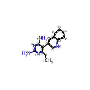 CCc1nc(N)nc(N)c1-c1cnc2ccccc2c1